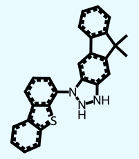 CC1(C)c2ccccc2-c2cc3c(cc21)NNN3c1cccc2c1sc1ccccc12